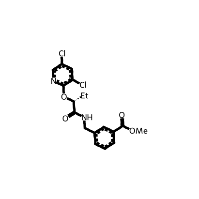 CC[C@@H](Oc1ncc(Cl)cc1Cl)C(=O)NCc1cccc(C(=O)OC)c1